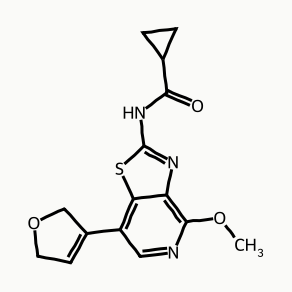 COc1ncc(C2=CCOC2)c2sc(NC(=O)C3CC3)nc12